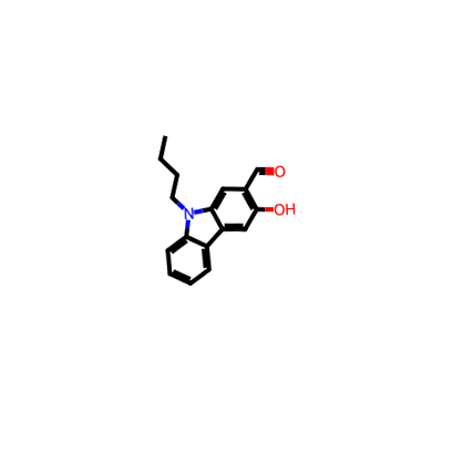 CCCCn1c2ccccc2c2cc(O)c(C=O)cc21